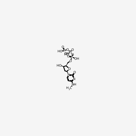 CNc1ccn([C@H]2C[C@@H](O)[C@@H](COP(=O)(O)OP(=O)(O)OP(=O)(O)O)O2)c(=O)n1